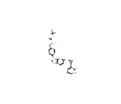 CC(C)(C)OC(=O)NCc1ccc(-n2cnc3ccc(OC4CC4c4cccnc4N)nc32)cc1